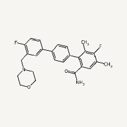 Cc1cc(C(N)=O)c(-c2ccc(-c3ccc(F)c(CN4CCOCC4)c3)cc2)c(C)c1F